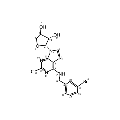 OC1CO[C@@H](n2cnc3c(NCc4cccc(Br)c4)nc(Cl)nc32)[C@H]1O